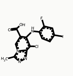 Cc1nnc2c(Cl)c(Nc3ccc(I)cc3F)c(C(=O)O)cn12